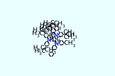 Cc1ccc(N(c2ccc(-c3ccccc3)cc2)c2cc3c4c(c2)N(c2ccc(C(C)(C)C)cc2-c2ccc(C(C)(C)C)cc2)c2ccc(C(C)(C)C)cc2B4c2cc(C(C)(C)C)ccc2N3c2ccc(C(C)(C)C)cc2)c(C)c1